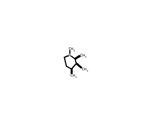 C=C1CCN(C)C(=C)C1=C